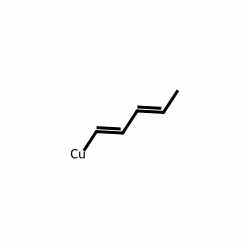 CC=CC=[CH][Cu]